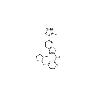 Cc1[nH]ncc1-c1ccc2c(c1)CC(Nc1cc(CN3CCC[C@H]3C)ccn1)=N2